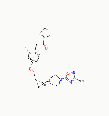 CC(C)c1noc(N2CCC([C@H]3CC3CCOc3ccc(CC(=O)N4CCCC4)c(F)c3)CC2)n1